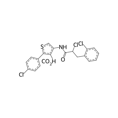 O=C(O)c1c(NC(=O)C(Cl)Cc2ccccc2Cl)csc1-c1ccc(Cl)cc1